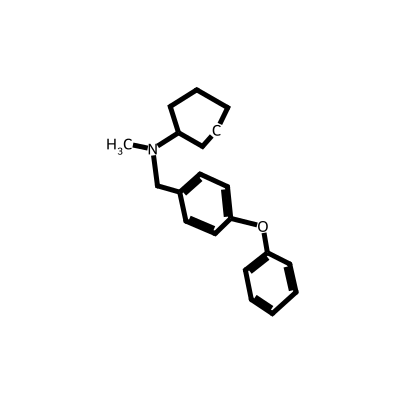 CN(Cc1ccc(Oc2ccccc2)cc1)C1CCCCC1